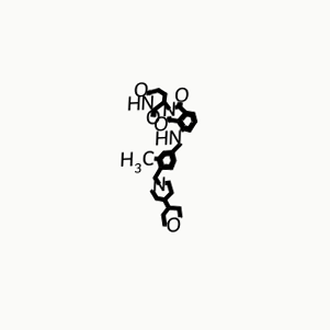 Cc1cc(CNc2cccc3c2C(=O)N(C2CCC(=O)NC2=O)C3=O)ccc1CN1CCC(C2CCOCC2)CC1